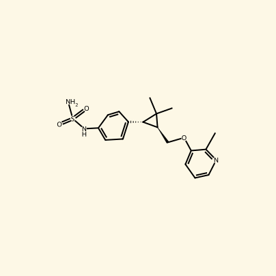 Cc1ncccc1OC[C@H]1[C@H](c2ccc(NS(N)(=O)=O)cc2)C1(C)C